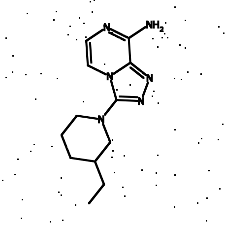 CCC1CCCN(c2nnc3c(N)nccn23)C1